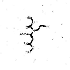 CS/C(=N\C(=O)OC(C)(C)C)N(CCC(C)C)C(=O)OC(C)(C)C